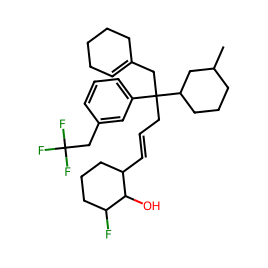 CC1CCCC(C(C/C=C/C2CCCC(F)C2O)(CC2=CCCCC2)c2cccc(CC(F)(F)F)c2)C1